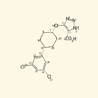 O=C(O)c1[nH]nnc1O[C@H]1CC[C@@H](c2cc(Cl)cc(Cl)c2)CC1